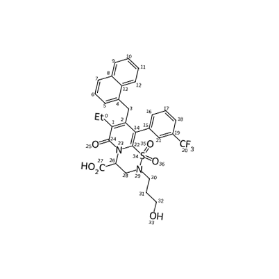 CCc1c(Cc2cccc3ccccc23)c(-c2cccc(C(F)(F)F)c2)c2n(c1=O)C(C(=O)O)CN(CCCO)S2(=O)=O